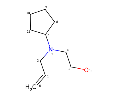 C=CCN(CC[O])C1CCCC1